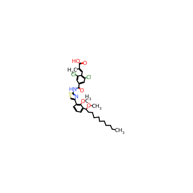 CCCCCCCCCCC(OC)c1cccc(-c2csc(NC(=O)c3cc(Cl)c(C=C(C)C(=O)O)c(Cl)c3)n2)c1OC